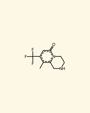 Cc1c(C(F)(F)F)cc(=O)n2c1CNCC2